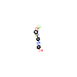 Oc1ccc(N=Nc2ccc(-c3nc4cc(OC(F)(F)F)ccc4s3)cc2)cc1